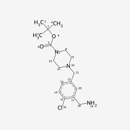 CC(C)(C)OC(=O)N1CCN(Cc2ccc(Cl)c(CN)c2)CC1